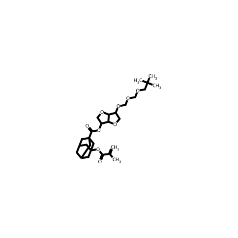 C=C(C)C(=O)OC12CC3CC(C1)CC(C(=O)OC1COC4C(OCOCOCC(C)(C)C)COC14)(C3)C2